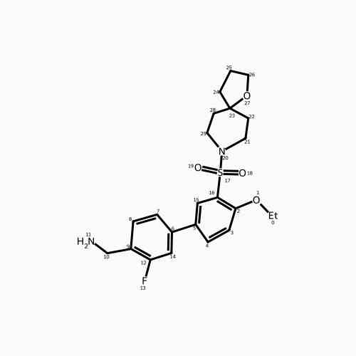 CCOc1ccc(-c2ccc(CN)c(F)c2)cc1S(=O)(=O)N1CCC2(CCCO2)CC1